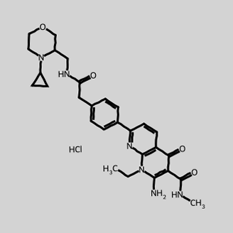 CCn1c(N)c(C(=O)NC)c(=O)c2ccc(-c3ccc(CC(=O)NCC4COCCN4C4CC4)cc3)nc21.Cl